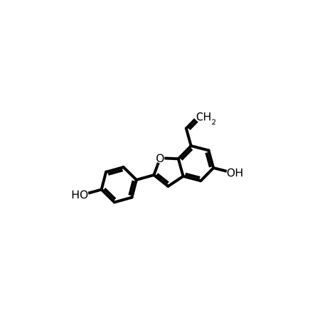 C=Cc1cc(O)cc2cc(-c3ccc(O)cc3)oc12